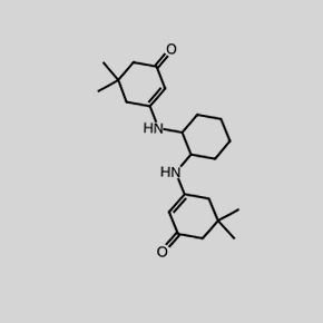 CC1(C)CC(=O)C=C(NC2CCCCC2NC2=CC(=O)CC(C)(C)C2)C1